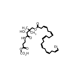 CC/C=C\C/C=C\C/C=C\C/C=C\C/C=C\C/C=C\CC(=O)OCC(C)(C)[C@@H](O)C(=O)NCCC(=O)OC(=O)O